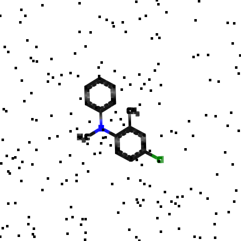 Cc1cc(Cl)ccc1N(C)c1ccccc1